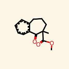 COC(=O)C1(C)CCCc2ccccc2C1=O